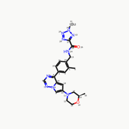 Cc1cc(-c2ncnn3cc(N4CCO[C@H](C)C4)cc23)ccc1CNC(=O)c1nnn(C(C)(C)C)n1